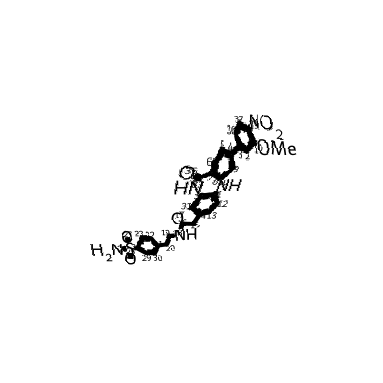 COc1cc(-c2ccc3c(c2)Nc2ccc(CC(=O)NCCc4ccc(S(N)(=O)=O)cc4)cc2NC3=O)ccc1[N+](=O)[O-]